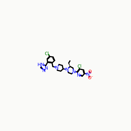 CC[C@H]1CN(c2ncc([N+](=O)[O-])cc2Cl)CCN1C1CCN(Cc2ccc(Cl)cc2-c2nnc[nH]2)CC1